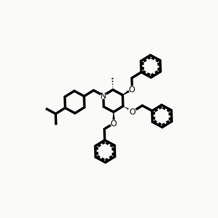 CC(C)C1CCC(CN2C[C@H](OCc3ccccc3)[C@@H](OCc3ccccc3)[C@H](OCc3ccccc3)[C@H]2C)CC1